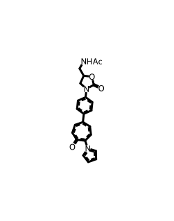 CC(=O)NCC1CN(c2ccc(-c3ccc(-n4cccc4)c(=O)cc3)cc2)C(=O)O1